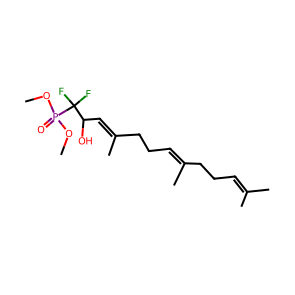 COP(=O)(OC)C(F)(F)C(O)/C=C(\C)CC/C=C(\C)CCC=C(C)C